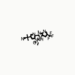 CC[S@](=N)(=O)c1cc(C(C)(C)C#N)cnc1-c1nc2cc(C(F)(F)F)cnc2n1C